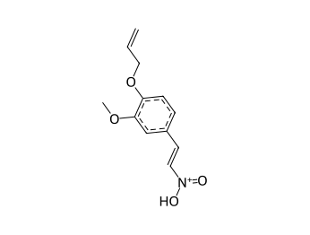 C=CCOc1ccc(/C=C/[N+](=O)O)cc1OC